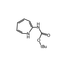 CC(C)(C)OC(=O)NC1=CC=CC=CN1